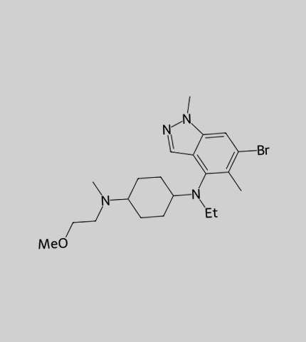 CCN(c1c(C)c(Br)cc2c1cnn2C)C1CCC(N(C)CCOC)CC1